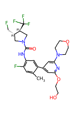 Cc1cc(F)c(NC(=O)N2C[C@H](CF)[C@@H](C(F)(F)F)C2)cc1-c1cc(OCCO)nc(N2CCOCC2)c1